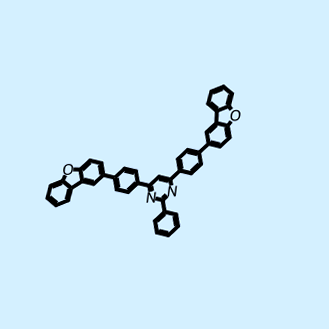 c1ccc(-c2nc(-c3ccc(-c4ccc5oc6ccccc6c5c4)cc3)cc(-c3ccc(-c4ccc5oc6ccccc6c5c4)cc3)n2)cc1